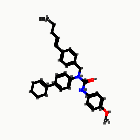 O=C(O)CCC=Cc1ccc(CN(C(=O)Nc2ccc(OC(F)(F)F)cc2)c2ccc(C3=CCCCC3)cc2)cc1